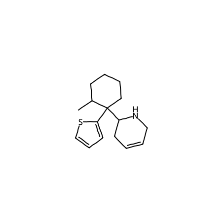 CC1CCCCC1(c1cccs1)C1CC=CCN1